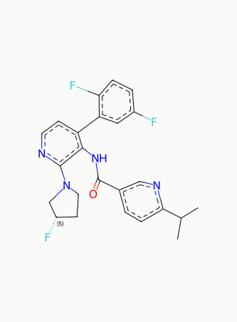 CC(C)c1ccc(C(=O)Nc2c(-c3cc(F)ccc3F)ccnc2N2CC[C@H](F)C2)cn1